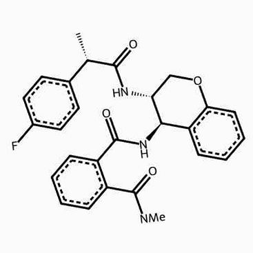 CNC(=O)c1ccccc1C(=O)N[C@@H]1c2ccccc2OC[C@H]1NC(=O)[C@@H](C)c1ccc(F)cc1